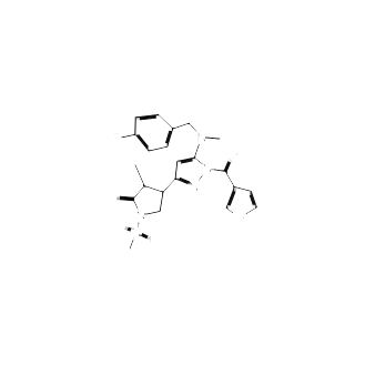 CC1C(=O)N(S(C)(=O)=O)CC1c1cc(N(C)Cc2ccc(F)cc2)n(C(=O)c2ccoc2)n1